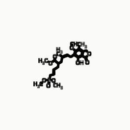 COC(=O)C(CC=CCP(=O)(OC)OC)CC(C)=CCc1c(O)c2c(c(C)c1OC)COC2=O